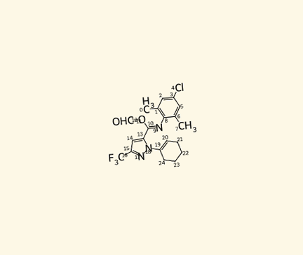 Cc1cc(Cl)cc(C)c1/N=C(\OC=O)c1cc(C(F)(F)F)nn1C1=CCCCC1